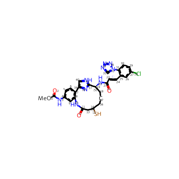 COC(=O)Nc1ccc2c(c1)NC(=O)C[C@H](S)CCC[C@H](NC(=O)/C=C/c1cc(Cl)ccc1-n1cnnn1)c1nc-2c[nH]1